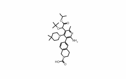 Cc1nc(N)c(-c2ccc3c(c2)CCN(C(=O)O)C3)c(N2CCC(C)(C)CC2)c1C(OC(C)(C)C)C(=O)OC(C)C